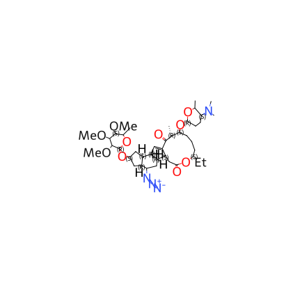 CC[C@H]1CCC[C@H](O[C@H]2CC[C@H](N(C)C)C(C)O2)[C@@H](C)C(=O)C2=C[C@@H]3[C@@H](CC(N=[N+]=[N-])[C@@H]4C[C@@H](O[C@@H]5OC(C)[C@H](OC)C(OC)C5OC)C[C@@H]34)[C@@H]2CC(=O)O1